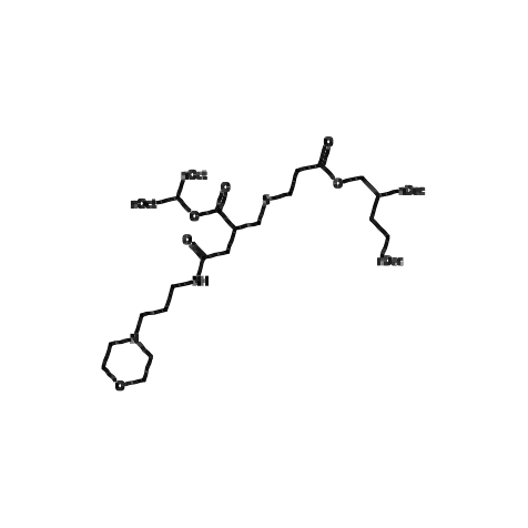 CCCCCCCCCCCCC(CCCCCCCCCC)COC(=O)CCSCC(CC(=O)NCCCN1CCOCC1)C(=O)OC(CCCCCCCC)CCCCCCCC